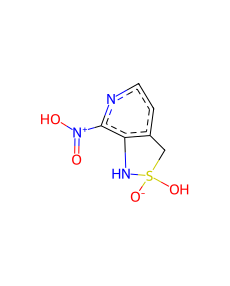 O=[N+](O)c1nccc2c1NS([O-])(O)C2